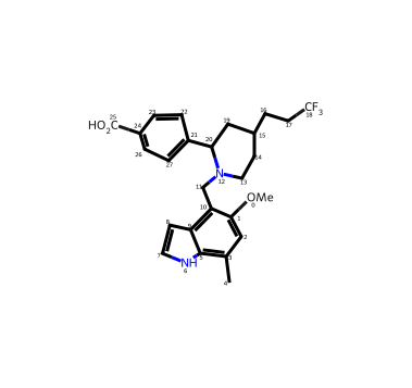 COc1cc(C)c2[nH]ccc2c1CN1CCC(CCC(F)(F)F)CC1c1ccc(C(=O)O)cc1